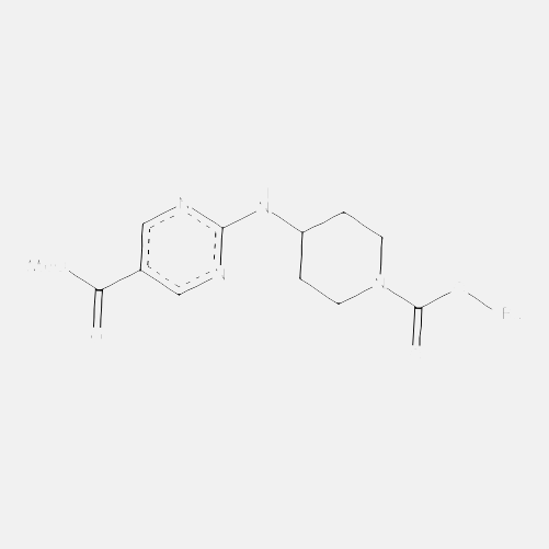 COC(=O)c1cnc(NC2CCN(C(=O)OC(C)(C)C)CC2)nc1